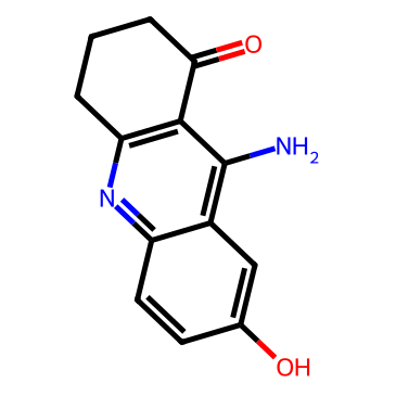 Nc1c2c(nc3ccc(O)cc13)CCCC2=O